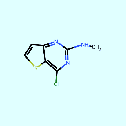 CNc1nc(Cl)c2sccc2n1